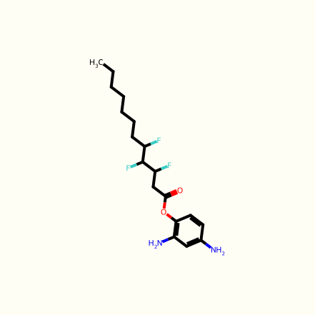 CCCCCCCC(F)C(F)C(F)CC(=O)Oc1ccc(N)cc1N